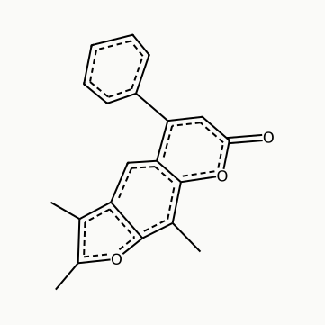 Cc1oc2c(C)c3oc(=O)cc(-c4ccccc4)c3cc2c1C